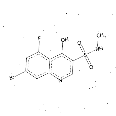 CNS(=O)(=O)c1cnc2cc(Br)cc(F)c2c1O